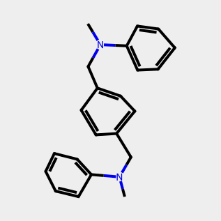 CN(Cc1ccc(CN(C)c2ccccc2)cc1)c1ccccc1